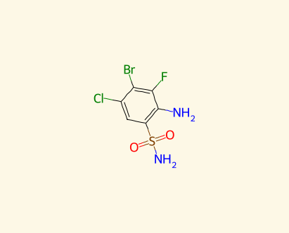 Nc1c(S(N)(=O)=O)cc(Cl)c(Br)c1F